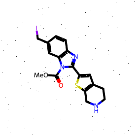 COC(=O)n1c(-c2cc3c(s2)CNCC3)nc2ccc(CI)cc21